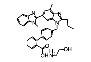 CCCc1nc2c(C)cc(-c3nc4ccccc4n3C)cc2n1Cc1ccc(-c2ccccc2C(=O)O)cc1.NCCO